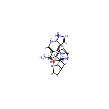 N#Cc1cccnc1N1C2CCC1CC(Nc1c(C(N)=O)cnc3[nH]ccc13)C2